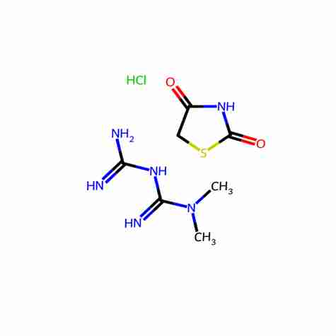 CN(C)C(=N)NC(=N)N.Cl.O=C1CSC(=O)N1